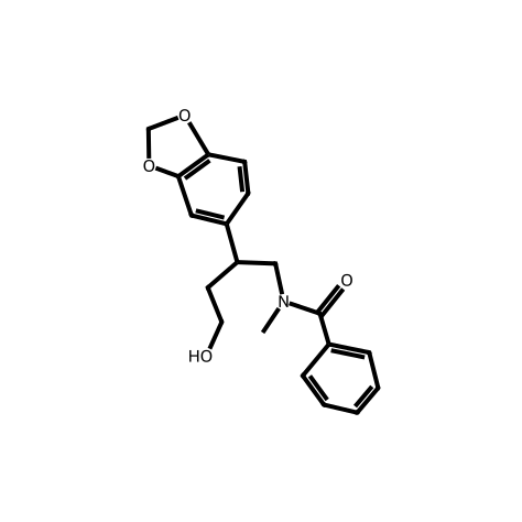 CN(CC(CCO)c1ccc2c(c1)OCO2)C(=O)c1ccccc1